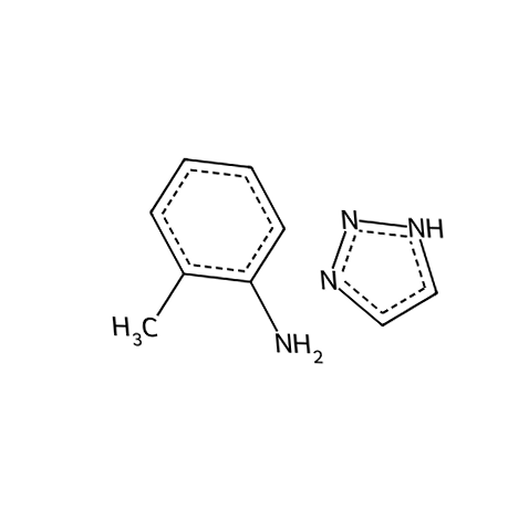 Cc1ccccc1N.c1c[nH]nn1